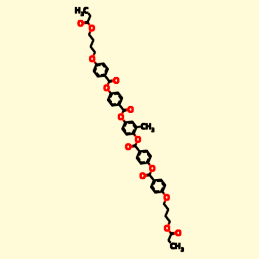 CCC(=O)OCCCCOc1ccc(C(=O)Oc2ccc(C(=O)Oc3ccc(OC(=O)c4ccc(OC(=O)c5ccc(OCCCCOC(=O)CC)cc5)cc4)c(C)c3)cc2)cc1